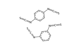 S=C=Nc1ccc(N=C=S)cc1.S=C=Nc1cccc(N=C=S)c1